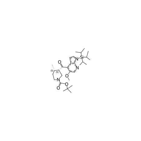 COc1cnc2c(ccn2[Si](C(C)C)(C(C)C)C(C)C)c1C(=O)[C@@H]1CN(C(=O)OC(C)(C)C)CC[C@@H]1C